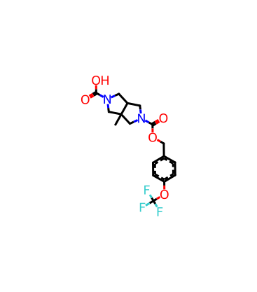 CC12CN(C(=O)O)CC1CN(C(=O)OCc1ccc(OC(F)(F)F)cc1)C2